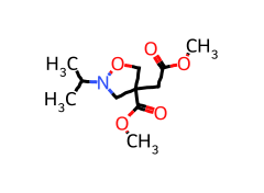 COC(=O)CC1(C(=O)OC)CON(C(C)C)C1